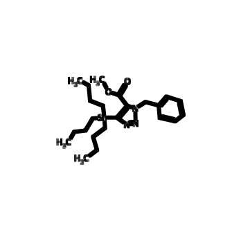 CCC[CH2][Sn]([CH2]CCC)([CH2]CCC)[c]1nnn(Cc2ccccc2)c1C(=O)OC